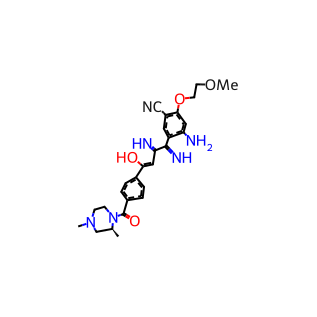 COCCOc1cc(N)c(C(=N)C(=N)/C=C(\O)c2ccc(C(=O)N3CCN(C)C[C@@H]3C)cc2)cc1C#N